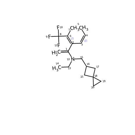 C=C(C(/C=C\C)=C(/C)C(F)(F)F)N(CC)CC1CC2(CC2)C1